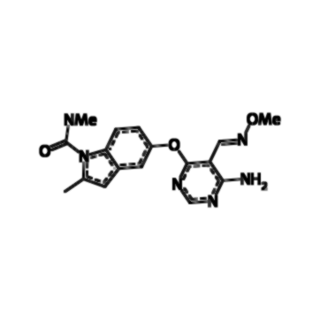 CNC(=O)n1c(C)cc2cc(Oc3ncnc(N)c3C=NOC)ccc21